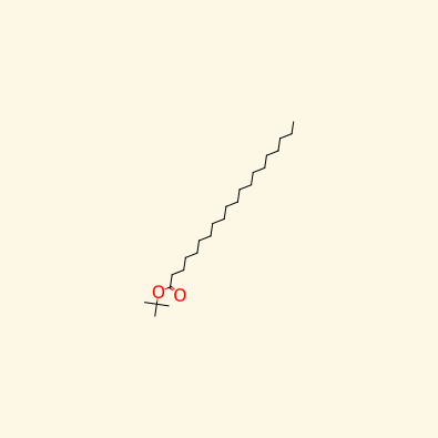 CCCCCCCCCCCCCCCCCCCC(=O)OC(C)(C)C